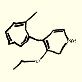 CCOC1=C(c2ccccc2C)C=CNC1